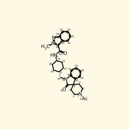 CC(=O)N1CCC2(CC1)C(=O)N(C[C@H]1CC[C@H](NC(=O)c3c4ccccc4nn3C)CC1)c1ccccc12